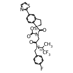 C[C@H](N(Cc1ccc(F)cc1)C(=O)CN1C(=O)O[C@@]2(CCc3cc(-c4nccs4)ccc32)C1=O)C(F)(F)F